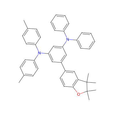 Cc1ccc(N(c2ccc(C)cc2)c2cc(-c3ccc4c(c3)C(C)(C)C(C)(C)O4)cc(N(c3ccccc3)c3ccccc3)c2)cc1